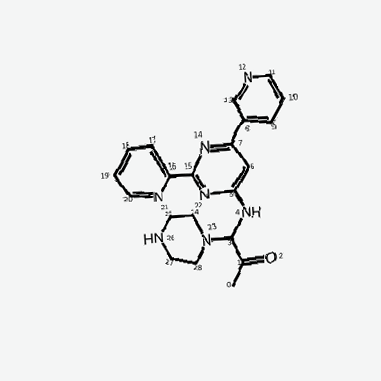 CC(=O)C(Nc1cc(-c2cccnc2)nc(-c2ccccn2)n1)N1CCNCC1